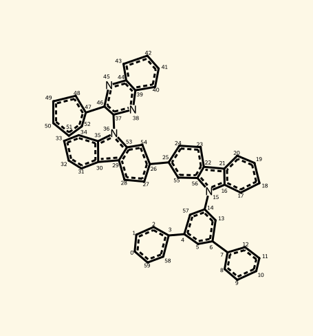 c1ccc(-c2cc(-c3ccccc3)cc(-n3c4ccccc4c4ccc(-c5ccc6c7ccccc7n(-c7nc8ccccc8nc7-c7ccccc7)c6c5)cc43)c2)cc1